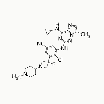 Cc1cnc2c(NC3CC3)nc(Nc3cc(C#N)cc(C4(F)CN(C5CCN(C)CC5)C4)c3Cl)nn12